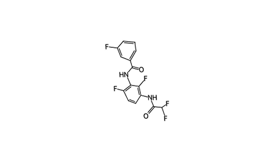 O=C(Nc1c(F)ccc(NC(=O)C(F)F)c1F)c1cccc(F)c1